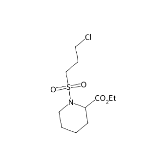 CCOC(=O)C1CCCCN1S(=O)(=O)CCCCl